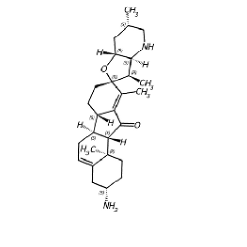 CC1=C2C(=O)[C@H]3[C@@H](CC=C4C[C@@H](N)CC[C@@]43C)[C@@H]2CC[C@]12O[C@@H]1C[C@H](C)CN[C@H]1[C@H]2C